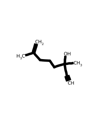 C#CC(C)(O)CCCC(=C)C